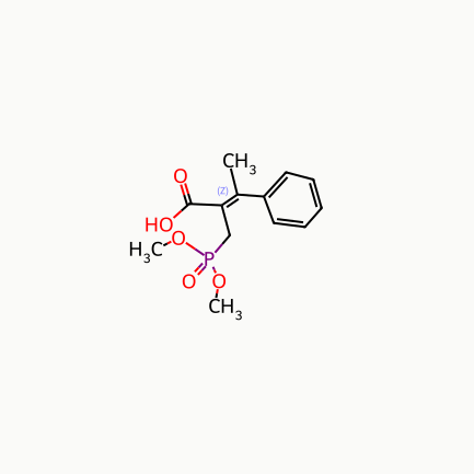 COP(=O)(C/C(C(=O)O)=C(/C)c1ccccc1)OC